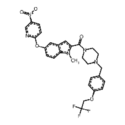 Cn1c(C(=O)N2CCN(Cc3ccc(OCC(F)(F)F)cc3)CC2)cc2cc(Oc3ccc([N+](=O)[O-])cn3)ccc21